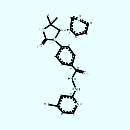 CC1(C)OC(=O)N(c2ccc(C(=O)NNc3cc(I)ccn3)cc2)[C@H]1c1ccccc1